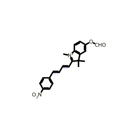 C[N+]1=C(/C=C/C=C/c2ccc([N+](=O)[O-])cc2)C(C)(C)c2cc(OC=O)ccc21